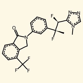 Cn1cnnc1[C@H](F)[C@](C)(F)c1cccc(N2Cc3c(cccc3C(F)(F)F)C2=O)c1